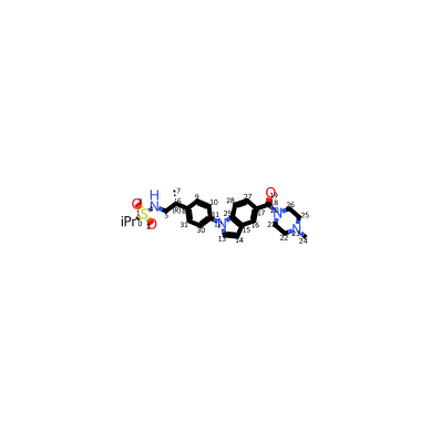 CC(C)S(=O)(=O)NC[C@H](C)c1ccc(-n2ccc3cc(C(=O)N4CCN(C)CC4)ccc32)cc1